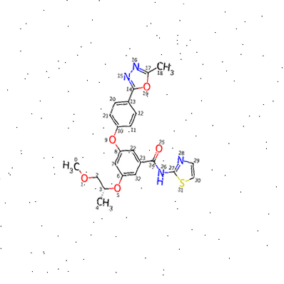 COC[C@@H](C)Oc1cc(Oc2ccc(-c3nnc(C)o3)cc2)cc(C(=O)Nc2nccs2)c1